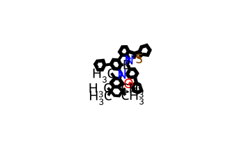 Cc1cc2c(cc1N1c3cc(-c4ccccc4)cc4c3B(c3ccc5c(oc6ccccc65)c31)n1c3sc5ccccc5c3c3cccc-4c31)C(C)(C)CCC2(C)C